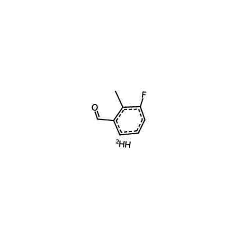 Cc1c(F)cccc1C=O.[2HH]